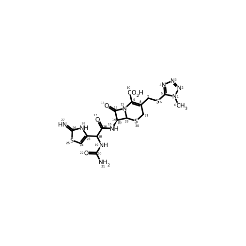 Cn1nnnc1SCC1=C(C(=O)O)N2C(=O)[C@H](NC(=O)C(NC(N)=O)c3csc(=N)[nH]3)C2SC1